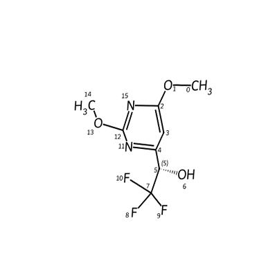 COc1cc([C@H](O)C(F)(F)F)nc(OC)n1